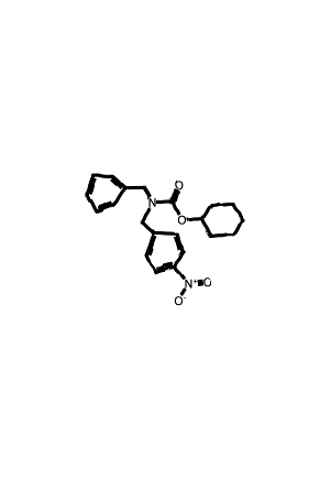 O=C(OC1CCCCC1)N(Cc1ccccc1)Cc1ccc([N+](=O)[O-])cc1